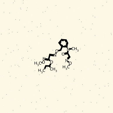 CCC(C)OC(C=NOCc1ccccc1N(C)C(=O)C=NOC)=NOC